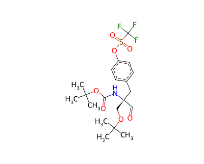 CC(C)(C)OC[C@](C=O)(Cc1ccc(OS(=O)(=O)C(F)(F)F)cc1)NC(=O)OC(C)(C)C